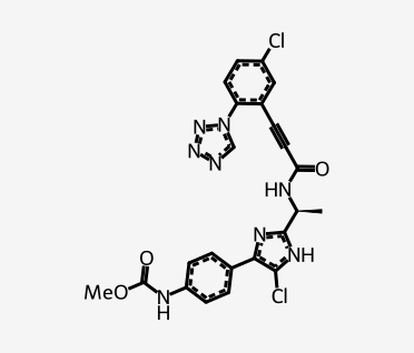 COC(=O)Nc1ccc(-c2nc([C@H](C)NC(=O)C#Cc3cc(Cl)ccc3-n3cnnn3)[nH]c2Cl)cc1